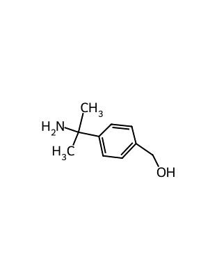 CC(C)(N)c1ccc(CO)cc1